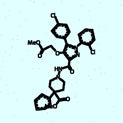 COC(=O)COc1c(C(=O)NN2CCC(C(=O)OC)(c3ccccc3)CC2)nn(-c2ccccc2Cl)c1-c1ccc(Cl)cc1